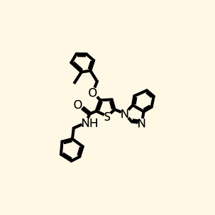 Cc1ccccc1COc1cc(-n2cnc3ccccc32)sc1C(=O)NCc1ccccc1